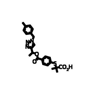 Cc1ccc(Cn2cc(C(C)OC(=O)c3ccc(SC(C)(C)C(=O)O)cc3)nn2)cc1